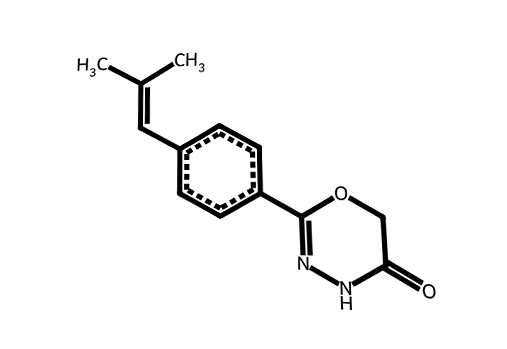 CC(C)=Cc1ccc(C2=NNC(=O)CO2)cc1